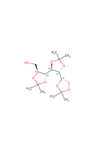 CC1(C)O[C@H]([C@@H]2OC(C)(C)O[C@H]2CO)[C@@H]([C@@H]2COC(C)(C)O2)O1